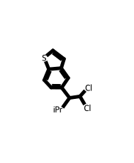 CC(C)C(c1ccc2sccc2c1)C(Cl)Cl